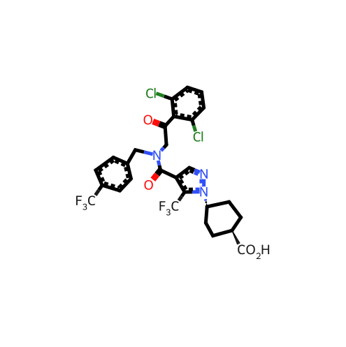 O=C(CN(Cc1ccc(C(F)(F)F)cc1)C(=O)c1cnn([C@H]2CC[C@H](C(=O)O)CC2)c1C(F)(F)F)c1c(Cl)cccc1Cl